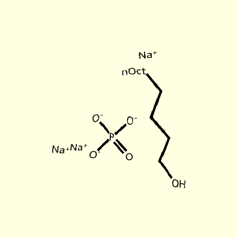 CCCCCCCCCCCCO.O=P([O-])([O-])[O-].[Na+].[Na+].[Na+]